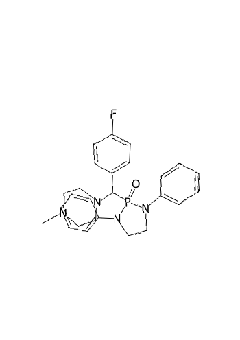 CN1CCN(C(c2ccc(F)cc2)P2(=O)N(c3ccccc3)CCN2c2ccccc2)CC1